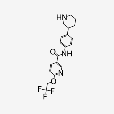 O=C(Nc1ccc([C@@H]2CCCNC2)cc1)c1ccc(OCC(F)(F)F)nc1